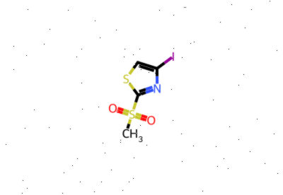 CS(=O)(=O)c1nc(I)cs1